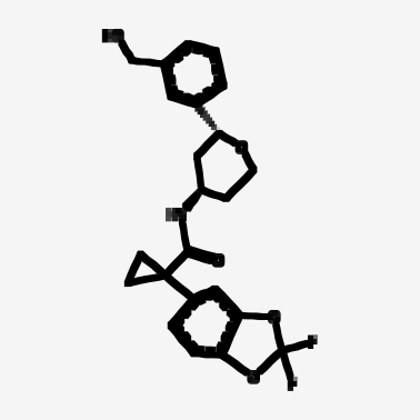 O=C(N[C@@H]1CCO[C@@H](c2cccc(CO)c2)C1)C1(c2ccc3c(c2)OC(F)(F)O3)CC1